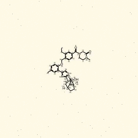 CCc1cc(C(=O)N2CCN(C)C(=O)C2)ccc1COc1ccc(C)cc1-c1csc(N2C[C@H]3CC[C@@H](C2)[C@H]3C(=O)O)n1